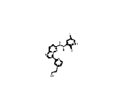 C[C@@H](Nc1ccc2ncc(-c3cc(CCO)ccn3)n2n1)c1cc(F)c[nH]c1=O